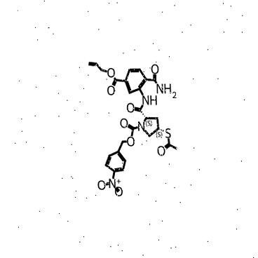 C=CCOC(=O)c1ccc(C(N)=O)c(NC(=O)[C@@H]2C[C@H](SC(C)=O)CN2C(=O)OCc2ccc([N+](=O)[O-])cc2)c1